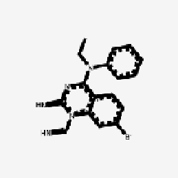 CCN(c1ccccc1)c1nc(=N)n(C=N)c2cc(Br)ccc12